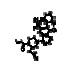 C=CC(=O)N1CCN(c2ncnn3c(=O)c(-c4c(N)cccc4F)c(C(F)(F)F)cc23)CC1CC#N